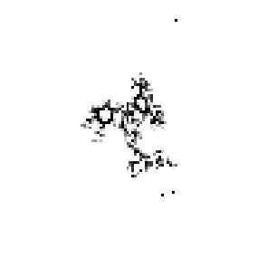 CCOC(=O)[C@@H]1COCCN1CC#CCN1CCN(Oc2cc(C(F)(F)F)cc(C(F)(F)F)c2)[C@H](Cc2ccc(C)c(C)c2)C1